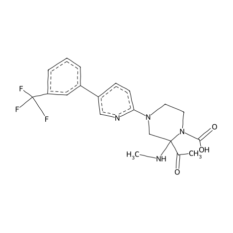 CNC1(C(C)=O)CN(c2ccc(-c3cccc(C(F)(F)F)c3)cn2)CCN1C(=O)O